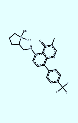 Cn1cnc2c(-c3ccc(C(F)(F)F)cc3)cnc(NCC3CCCS3(O)O)c2c1=O